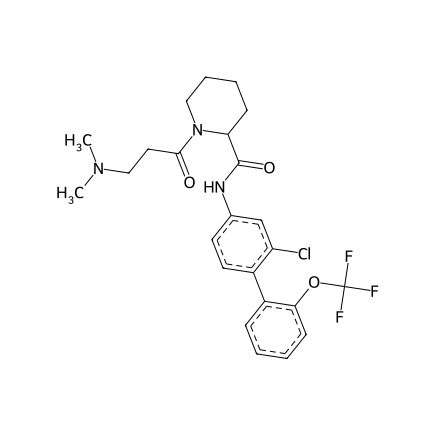 CN(C)CCC(=O)N1CCCCC1C(=O)Nc1ccc(-c2ccccc2OC(F)(F)F)c(Cl)c1